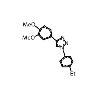 CCc1ccc(-n2cc(-c3ccc(OC)c(OC)c3)nn2)cc1